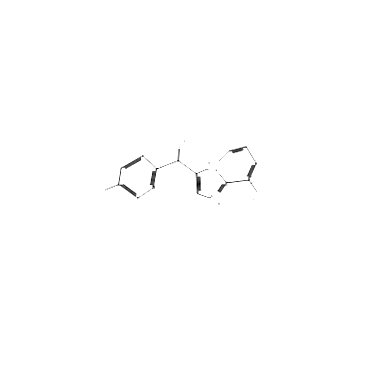 OC(c1ccc(F)cc1)c1cnc2c(Br)cccn12